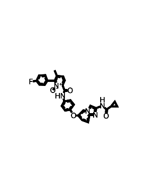 Cc1ccc(C(=O)Nc2ccc(Oc3ccc4nc(NC(=O)C5CC5)cn4c3)cc2)[n+]([O-])c1-c1ccc(F)cc1